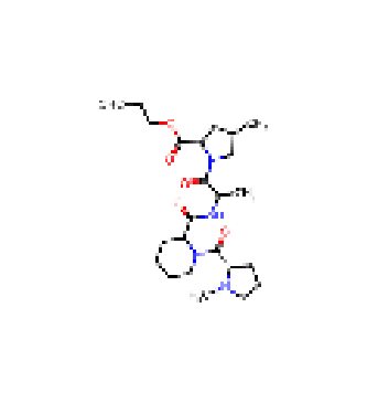 CC1CC(C(=O)OCCC=O)N(C(=O)C(C)NC(=O)C2CCCCN2C(=O)[C@@H]2CCCN2C)C1